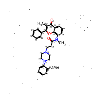 COc1ccccc1N1CCN(CCC(=O)N(C)c2cccc3c(=O)c(C)c(-c4ccccc4)oc23)CC1